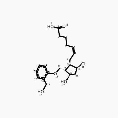 O=C(O)CCC/C=C\C[C@@H]1[C@@H](COc2ccccc2CO)[C@H](O)C[C@@H]1Cl